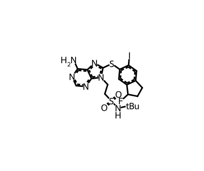 CC(C)(C)NS(=O)(=O)CCn1c(Sc2cc3c(cc2I)CCC3F)nc2c(N)ncnc21